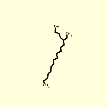 CCCCCCCCCCCCCC(CC)CCCO